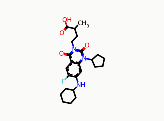 CC(CCn1c(=O)c2cc(F)c(NC3CCCCC3)cc2n(C2CCCC2)c1=O)C(=O)O